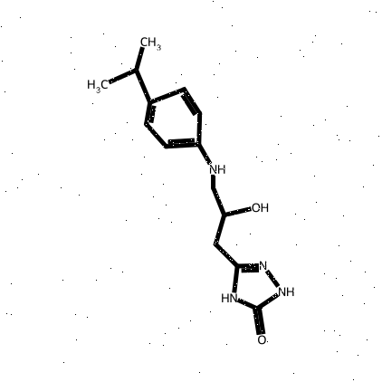 CC(C)c1ccc(NCC(O)Cc2n[nH]c(=O)[nH]2)cc1